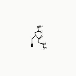 C#CCN(CC(=O)NC)C(=O)CNCCC